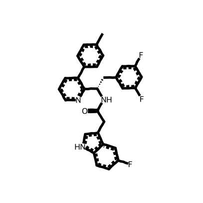 Cc1ccc(-c2cccnc2[C@H](Cc2cc(F)cc(F)c2)NC(=O)Cc2c[nH]c3ccc(F)cc23)cc1